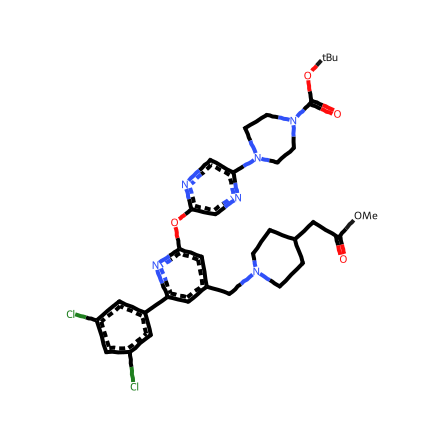 COC(=O)CC1CCN(Cc2cc(Oc3cnc(N4CCN(C(=O)OC(C)(C)C)CC4)cn3)nc(-c3cc(Cl)cc(Cl)c3)c2)CC1